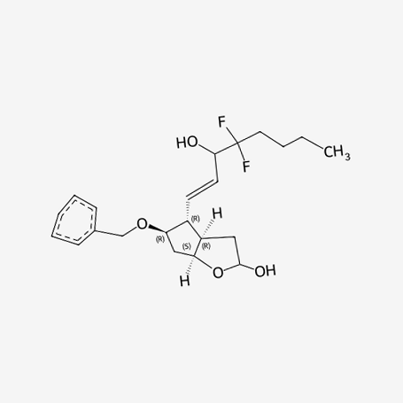 CCCCC(F)(F)C(O)C=C[C@@H]1[C@H]2CC(O)O[C@H]2C[C@H]1OCc1ccccc1